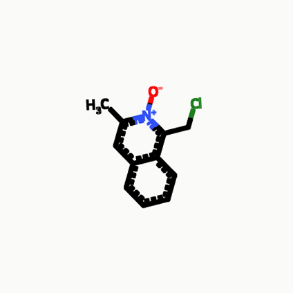 Cc1cc2ccccc2c(CCl)[n+]1[O-]